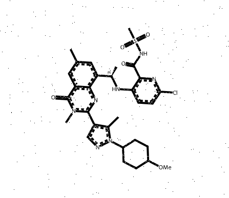 COC1CCC(n2ncc(-c3nc4c([C@@H](C)Nc5ccc(Cl)nc5C(=O)NS(C)(=O)=O)cc(C)cc4c(=O)n3C)c2C)CC1